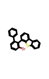 Brc1cccc(-c2ccccc2)c1-c1cccc2c1sc1ccccc12